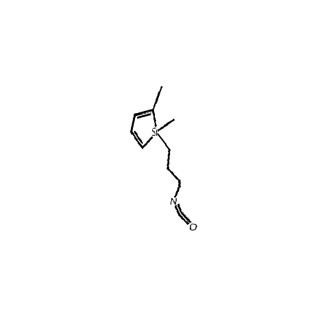 CC1=CC=C[Si]1(C)CCCN=C=O